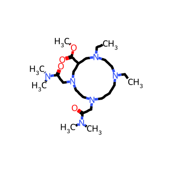 CCN1CCCN(CC(=O)N(C)C)CCN(CC(=O)N(C)C)CC(C(=O)OC)CN(CC)CC1